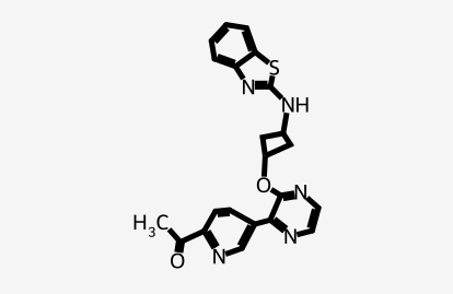 CC(=O)c1ccc(-c2nccnc2OC2CC(Nc3nc4ccccc4s3)C2)cn1